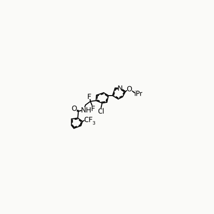 CC(C)Oc1ccc(-c2ccc(C(F)(F)CNC(=O)c3ccccc3C(F)(F)F)c(Cl)c2)cn1